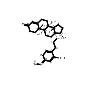 CC(=O)[C@H]1CC[C@H]2[C@@H]3CCC4=CC(=O)CC[C@@]4(C)[C@@H]3CC[C@]12CCCC1=CCC(=NO)C=C1C=O